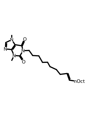 CCCCCCCCC=CCCCCCCCCn1c(=O)c2c(ncn2C)n(C)c1=O